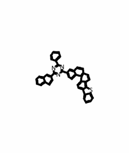 c1ccc(-c2nc(-c3ccc4ccccc4c3)nc(-c3ccc4c(ccc5ccc6c(ccc7c8ccccc8sc76)c54)c3)n2)cc1